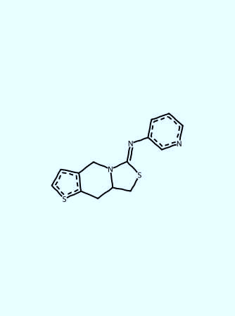 c1cncc(N=C2SCC3Cc4sccc4CN23)c1